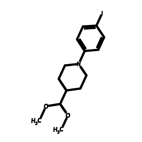 COC(OC)C1CCN(c2ccc(I)cc2)CC1